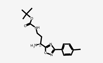 Cc1ccc(-c2noc([C@@H](N)CCNC(=O)OC(C)(C)C)n2)cc1